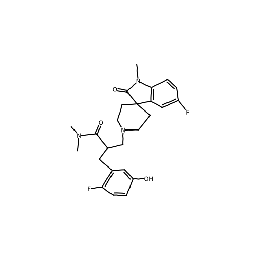 CN(C)C(=O)C(Cc1cc(O)ccc1F)CN1CCC2(CC1)C(=O)N(C)c1ccc(F)cc12